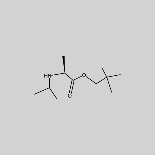 CC(C)N[C@@H](C)C(=O)OCC(C)(C)C